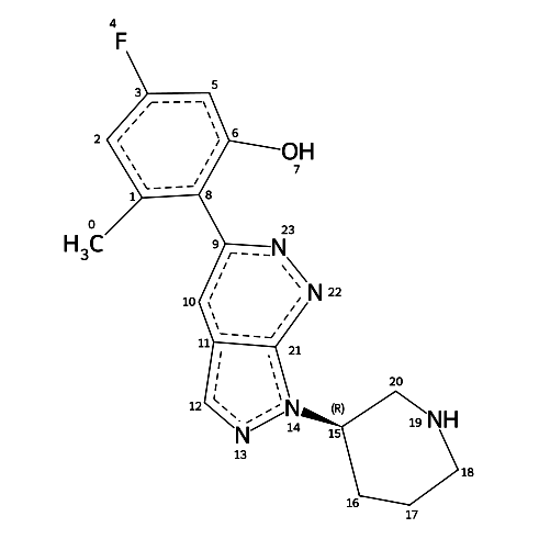 Cc1cc(F)cc(O)c1-c1cc2cnn([C@@H]3CCCNC3)c2nn1